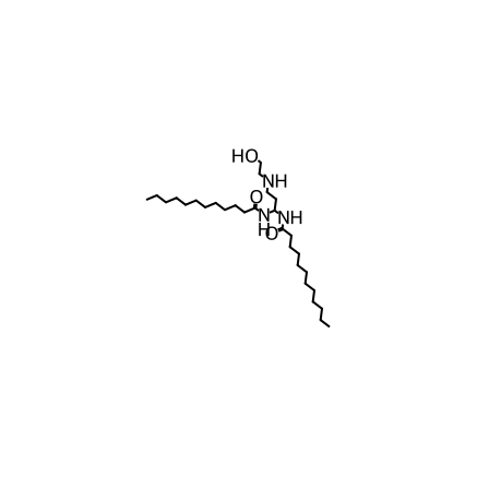 CCCCCCCCCCCC(=O)NC(CCNCCO)NC(=O)CCCCCCCCCCC